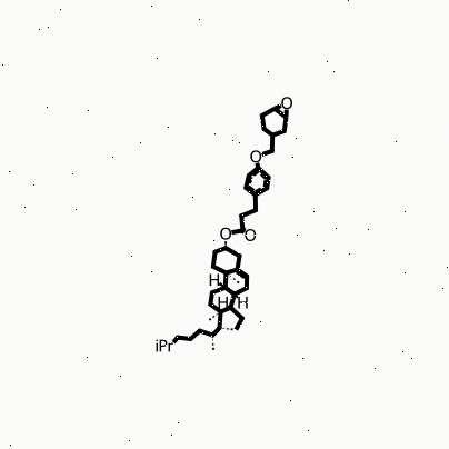 CC(C)CCC[C@@H](C)[C@H]1CC[C@H]2[C@@H]3CC=C4C[C@@H](OC(=O)CCc5ccc(OCC6CCC7OC7C6)cc5)CC[C@]4(C)[C@H]3CC[C@]12C